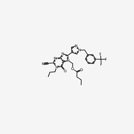 CCCC(=O)OCn1c(-c2cnn(Cc3cccc(C(F)(F)F)c3)c2)nc2nc(C#N)n(CCC)c(=O)c21